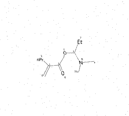 C=C(CCC)C(=O)OC(CC)N(C)C